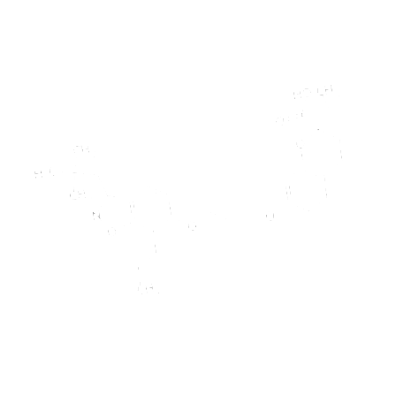 CCCc1c(OCCCOc2ccc3c(c2)OC(CC)(C(=O)O)CC3)ccc2c(CC(C)(C)C)noc12